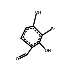 O=Cc1ccc(O)c(Br)c1O